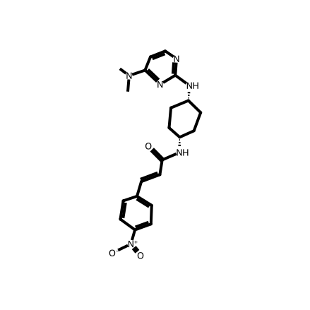 CN(C)c1ccnc(N[C@H]2CC[C@@H](NC(=O)C=Cc3ccc([N+](=O)[O-])cc3)CC2)n1